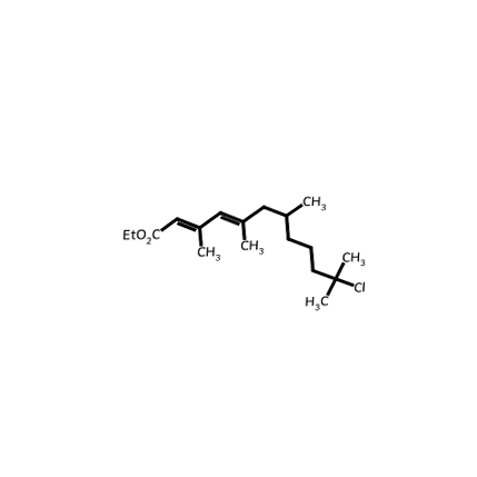 CCOC(=O)/C=C(C)/C=C(\C)CC(C)CCCC(C)(C)Cl